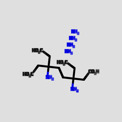 N.N.N.N.NC(CCC(N)(CC(=O)O)CC(=O)O)(CC(=O)O)CC(=O)O